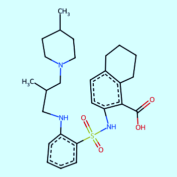 CC1CCN(CC(C)CNc2ccccc2S(=O)(=O)Nc2ccc3c(c2C(=O)O)CCCC3)CC1